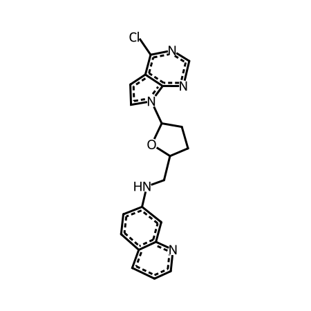 Clc1ncnc2c1ccn2C1CCC(CNc2ccc3cccnc3c2)O1